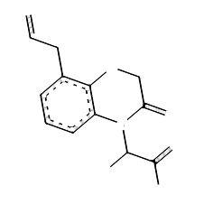 CC(=O)C(C)N1C(=O)COc2c(CC=O)cccc21